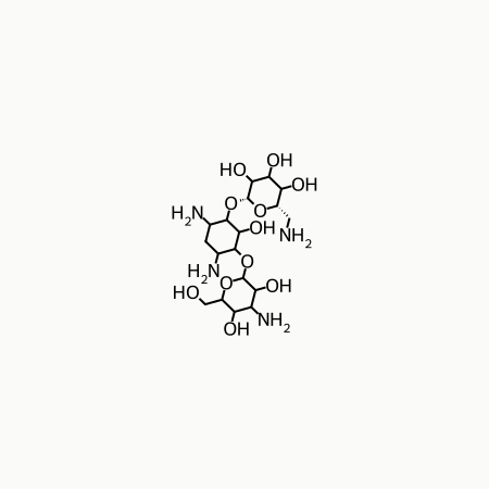 NC[C@@H]1O[C@H](OC2C(N)CC(N)C(OC3OC(CO)C(O)C(N)C3O)C2O)C(O)C(O)C1O